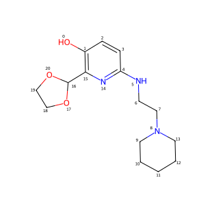 Oc1ccc(NCCN2CCCCC2)nc1C1OCCO1